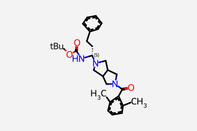 Cc1cccc(C)c1C(=O)N1CC2CN([C@@H](CCc3ccccc3)NC(=O)OC(C)(C)C)CC2C1